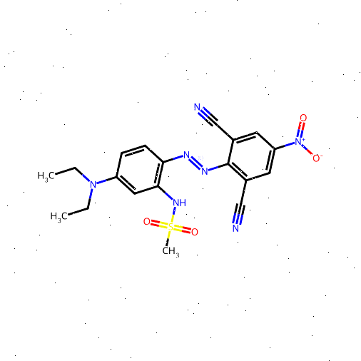 CCN(CC)c1ccc(/N=N/c2c(C#N)cc([N+](=O)[O-])cc2C#N)c(NS(C)(=O)=O)c1